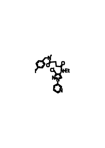 CCN(C(=O)CCC(=O)N(C)Cc1ccc(I)cc1)c1cn(-c2cccnc2)nc1Cl